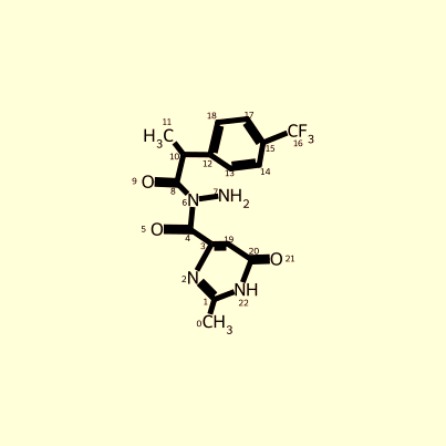 Cc1nc(C(=O)N(N)C(=O)C(C)c2ccc(C(F)(F)F)cc2)cc(=O)[nH]1